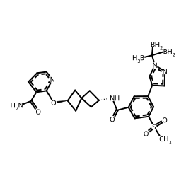 BC(B)(B)n1cc(-c2cc(C(=O)N[C@H]3CC4(C3)C[C@H](Oc3ncccc3C(N)=O)C4)cc(S(C)(=O)=O)c2)cn1